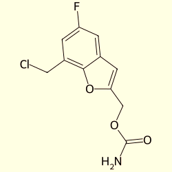 NC(=O)OCc1cc2cc(F)cc(CCl)c2o1